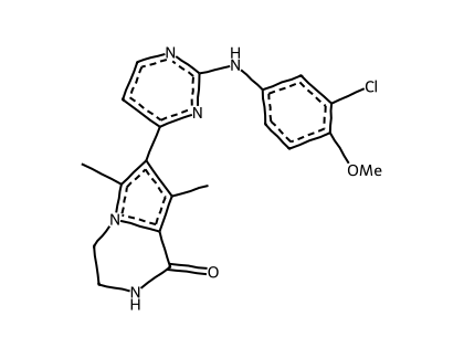 COc1ccc(Nc2nccc(-c3c(C)c4n(c3C)CCNC4=O)n2)cc1Cl